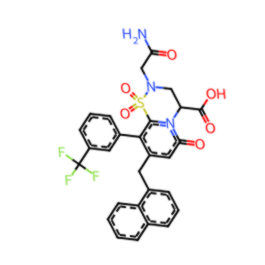 NC(=O)CN1CC(C(=O)O)n2c(c(-c3cccc(C(F)(F)F)c3)c(Cc3cccc4ccccc34)cc2=O)S1(=O)=O